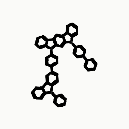 c1ccc(-c2ccc(-n3c4ccccc4c4cc5c6ccccc6n(-c6ccc(-c7ccc8c(c7)c7ccccc7n8-c7ccccc7)cc6)c5cc43)cc2)cc1